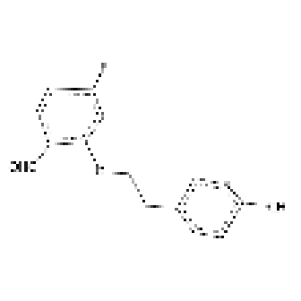 Cc1ccc(CCOc2cc(F)ccc2C=O)cn1